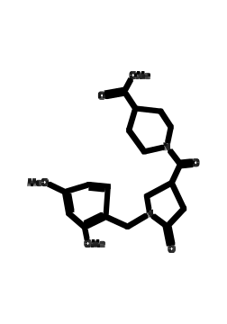 COC(=O)C1CCN(C(=O)C2CC(=O)N(Cc3ccc(OC)cc3OC)C2)CC1